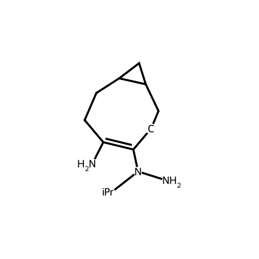 CC(C)N(N)/C1=C(\N)CCC2CC2CC1